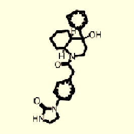 O=C1NCCN1c1ccc(CC(=O)N2CC[C@@](O)(c3ccccc3)[C@@H]3CCCC[C@@H]32)cc1